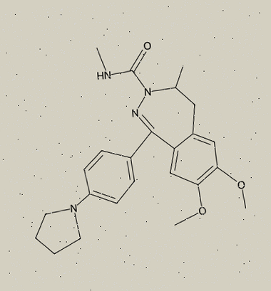 CNC(=O)N1N=C(c2ccc(N3CCCC3)cc2)c2cc(OC)c(OC)cc2CC1C